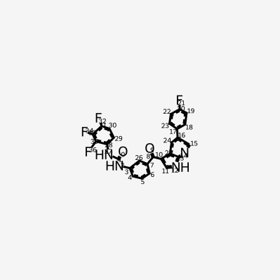 O=C(Nc1cccc(C(=O)c2c[nH]c3ncc(-c4ccc(F)cc4)cc23)c1)Nc1ccc(F)c(F)c1F